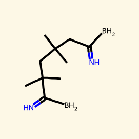 BC(=N)CC(C)(C)CC(C)(C)C(B)=N